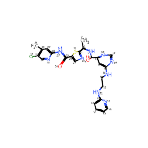 CC(NC(O)c1cc(NCCNc2ccccn2)ncn1)c1ncc(C(=O)Nc2cc(C(F)(F)F)c(Cl)cn2)s1